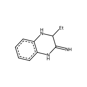 CCC1Nc2ccccc2NC1=N